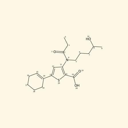 CCC(=O)N(CCCC(C)O)c1cc(C2=CCCCC2)sc1C(=O)O